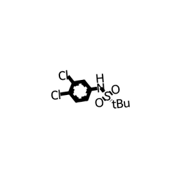 CC(C)(C)S(=O)(=O)Nc1ccc(Cl)c(Cl)c1